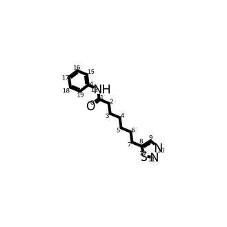 O=C(CCCCCCc1cnns1)Nc1ccccc1